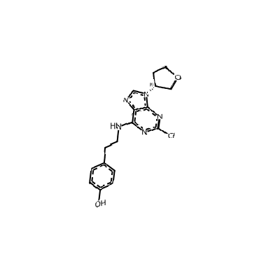 Oc1ccc(CCNc2nc(Cl)nc3c2ncn3[C@@H]2CCOC2)cc1